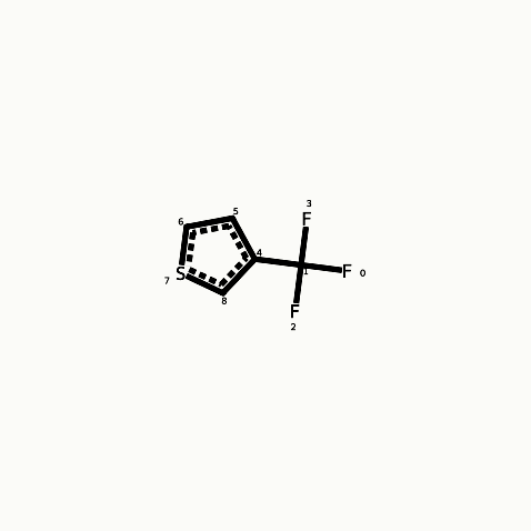 FC(F)(F)c1ccsc1